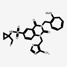 CNC1=C(Cn2c(=O)c3cc(S(=O)(=O)NC4(CF)CC4)ccc3n(Cc3scnc3C)c2=O)C=CC=CC1